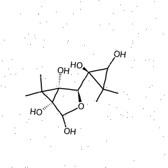 CC1(C)C(O)[C@@]1(O)[C@H]1OC(O)[C@@]2(O)C(C)(C)[C@@]12O